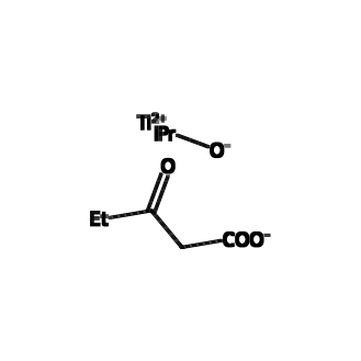 CC(C)[O-].CCC(=O)CC(=O)[O-].[Ti+2]